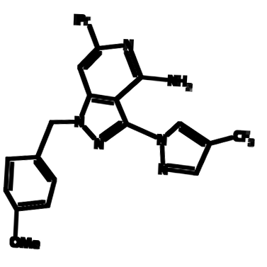 COc1ccc(Cn2nc(-n3cc(C(F)(F)F)cn3)c3c(N)nc(C(C)C)cc32)cc1